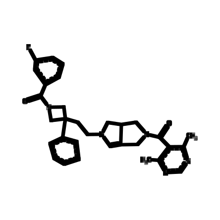 Cc1ncnc(C)c1C(=O)N1CC2=CN(CCC3(c4ccccc4)CN(C(=O)c4cccc(F)c4)C3)CC2C1